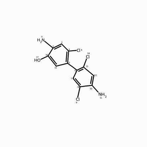 Nc1cc(Cl)c(-c2cc(Cl)c(N)cc2Cl)cc1O